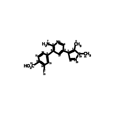 Cc1c(-c2cnc(N)c(-c3ccc(C(=O)O)c(F)c3)c2)cnn1C